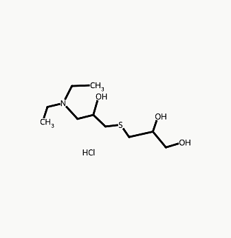 CCN(CC)CC(O)CSCC(O)CO.Cl